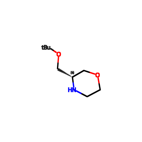 CC(C)(C)OC[C@@H]1COCCN1